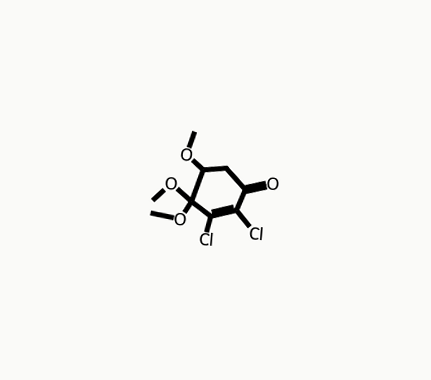 COC1CC(=O)C(Cl)=C(Cl)C1(OC)OC